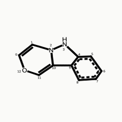 C1=CN2Nc3ccccc3C2=CO1